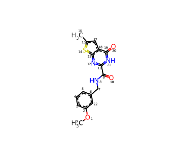 COc1cccc(CNC(=O)c2nc3sc(C)cc3c(=O)[nH]2)c1